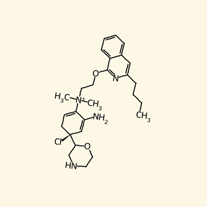 CCCCc1cc2ccccc2c(OCC[N+](C)(C)C2=CC[C@@](Cl)(C3CNCCO3)C=C2N)n1